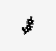 CC(C#N)Cc1ccc(C2CCC(C)CC2)cc1